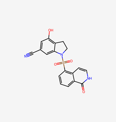 N#Cc1cc(O)c2c(c1)N(S(=O)(=O)c1cccc3c(=O)[nH]ccc13)CC2